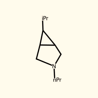 CCCN1CC2C(C1)C2C(C)C